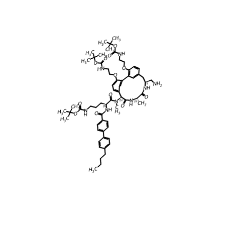 CCCCc1ccc(-c2ccc(C(=O)N[C@@H](CCCNC(=O)OC(C)(C)C)C(=O)N(C)[C@@H]3C(=O)N[C@@H](C)C(=O)N[C@H](CN)Cc4ccc(OCCNC(=O)OC(C)(C)C)c(c4)-c4cc3ccc4OCCNC(=O)OC(C)(C)C)cc2)cc1